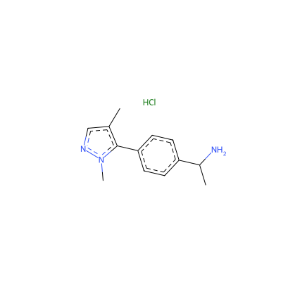 Cc1cnn(C)c1-c1ccc(C(C)N)cc1.Cl